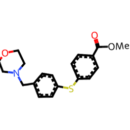 COC(=O)c1ccc(Sc2ccc(CN3CCOCC3)cc2)cc1